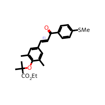 CCOC(=O)C(C)(C)Oc1c(C)cc(/C=C/C(=O)c2ccc(SC)cc2)cc1C